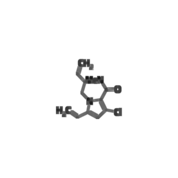 C=CCCn1c(C=C)cc(Cl)c1C(=O)NC